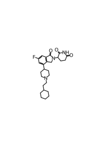 O=C1CCC(N2Cc3c(cc(F)cc3C3CCN(CCC4CCCCC4)CC3)C2=O)C(=O)N1